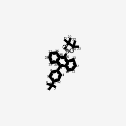 CC(C)(C)c1ccc(-c2c3ccccc3c(B3OC(C)(C)C(C)(C)O3)c3ccccc23)cc1